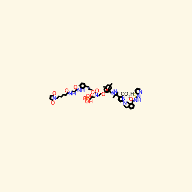 Cc1c(-c2ccc(N3CCc4cccc(C(=O)Nc5nc6ncccc6s5)c4C3)nc2C(=O)O)cnn1CC12CC3(C)CC(C)(C1)CC(OCCN(CCCP(=O)(O)O)C(=O)OC/C=C/c1cc[c]c(NC(=O)CCNC(=O)CCCCCN4C(=O)C=CC4=O)c1)(C3)C2